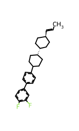 CC=C[C@H]1CC[C@H](C2CCC(c3ccc(-c4ccc(F)c(F)c4)cc3)CC2)CC1